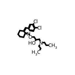 CCCN(CCC)CC(O)CON=C1CCCCC1=Cc1ccc(Cl)c(Cl)c1